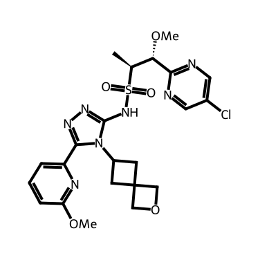 COc1cccc(-c2nnc(NS(=O)(=O)[C@@H](C)[C@H](OC)c3ncc(Cl)cn3)n2C2CC3(COC3)C2)n1